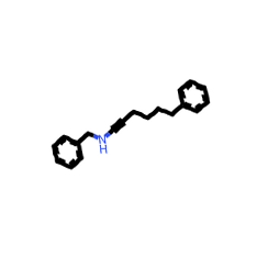 C(#CNCc1ccccc1)CCCCc1ccccc1